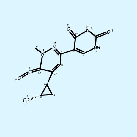 CN1N=C(c2c[nH]c(=O)[nH]c2=O)C=C([C@H]2C[C@@H]2C(F)(F)F)C1=C=O